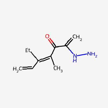 C=C/C(CC)=C(\C)C(=O)C(=C)NN